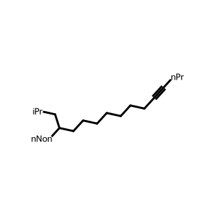 [CH2]CCC#CCCCCCCCC(CCCCCCCC[CH2])CC(C)C